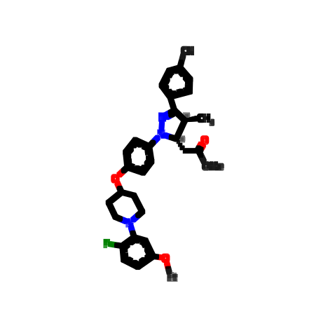 CCOc1ccc(F)c(N2CCC(Oc3ccc(N4N=C(c5ccc(C#N)cc5)[C@@H](C)[C@@H]4CC(=O)OC)cc3)CC2)c1